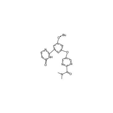 CC[C@H](C)Oc1cc(Oc2cnc(C(=O)N(C)C)nc2)cc(-c2nccc(=O)[nH]2)c1